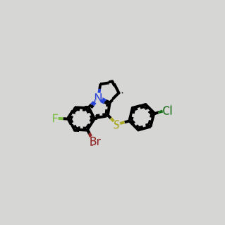 Fc1cc(Br)c2c(Sc3ccc(Cl)cc3)c3n(c2c1)CC[CH]3